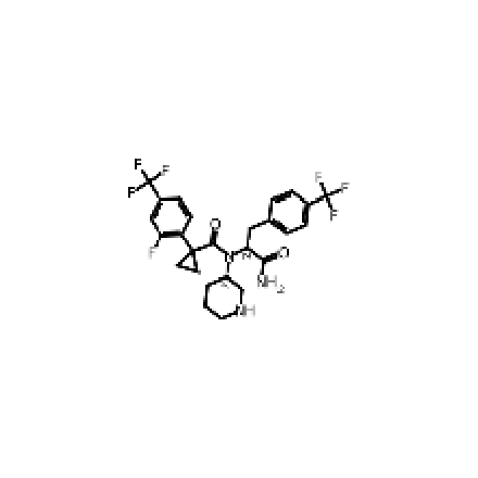 NC(=O)[C@H](Cc1ccc(C(F)(F)F)cc1)N(C(=O)C1(c2ccc(C(F)(F)F)cc2F)CC1)[C@@H]1CCCNC1